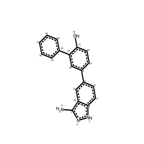 Nc1n[nH]c2ccc(-c3ccc(O)c(-c4ccccc4)c3)cc12